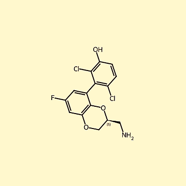 NC[C@H]1COc2cc(F)cc(-c3c(Cl)ccc(O)c3Cl)c2O1